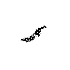 CCCCc1cc2ccc(OC(F)(F)c3ccc(C4CCC(CCC)CC4)cc3)c(F)c2s1